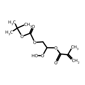 C=C(C)C(=O)OC(COC(=O)OC(C)(C)C)OO